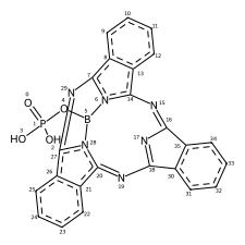 O=P(O)(O)OB1n2c3c4ccccc4c2/N=C2N=C(/N=c4/c5ccccc5c(n41)=N3)c1ccccc1\2